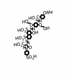 COc1ccc(/N=N/c2cc(OCCO)c(/N=N/c3c(S(=O)(=O)O)cc4c(S(=O)(=O)O)c(/N=N/C5C(=O)N(c6ccc(S(=O)(=O)O)cc6)N=C5C(=O)O)ccc4c3O)cc2OCCO)c(C(=O)O)c1